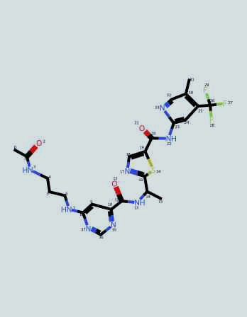 CC(=O)NCCCNc1cc(C(=O)NC(C)c2ncc(C(=O)Nc3cc(C(F)(F)F)c(C)cn3)s2)ncn1